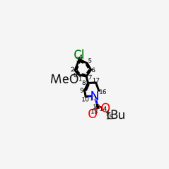 COc1cc(Cl)ccc1C1=CCN(C(=O)OC(C)(C)C)CC1